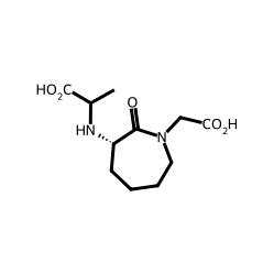 CC(N[C@H]1CCCCN(CC(=O)O)C1=O)C(=O)O